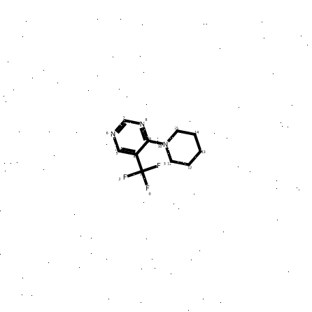 FC(F)(F)c1cn[c]nc1N1CCCCC1